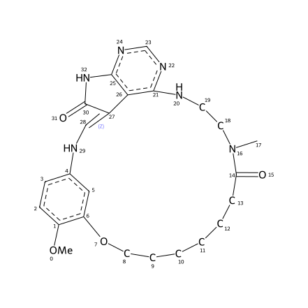 COc1ccc2cc1OCCCCCCC(=O)N(C)CCNc1ncnc3c1/C(=C/N2)C(=O)N3